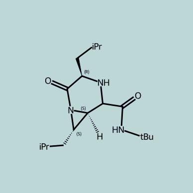 CC(C)C[C@H]1NC(C(=O)NC(C)(C)C)[C@H]2[C@H](CC(C)C)N2C1=O